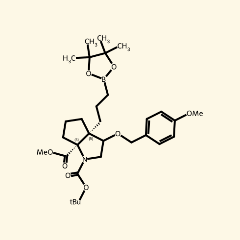 COC(=O)[C@]12CCC[C@@]1(CCCB1OC(C)(C)C(C)(C)O1)C(OCc1ccc(OC)cc1)CN2C(=O)OC(C)(C)C